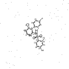 Cc1ccc(-c2c(Cl)ncnc2NS(=O)(=O)c2ccc(C)cc2C)cc1